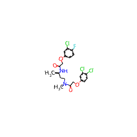 C=C(CCN(C)C(=O)COc1ccc(Cl)c(Cl)c1)NC(=O)COc1ccc(F)c(Cl)c1